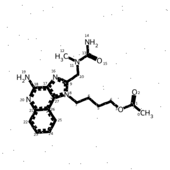 CC(=O)OCCCCn1c(CN(C)C(N)=O)nc2c(N)nc3ccccc3c21